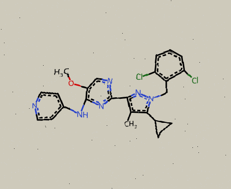 COc1cnc(-c2nn(Cc3c(Cl)cccc3Cl)c(C3CC3)c2C)nc1Nc1ccncc1